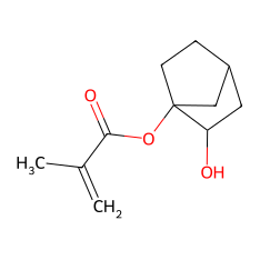 C=C(C)C(=O)OC12CCC(CC1O)C2